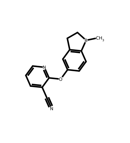 CB1CCc2cc(Oc3ncccc3C#N)ccc21